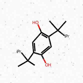 CC(C)C(C)(C)c1cc(O)c(C(C)(C)C(C)C)cc1O